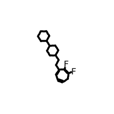 FC1=C(F)C(CCC2CCC(C3CCCCC3)CC2)=CC#CC1